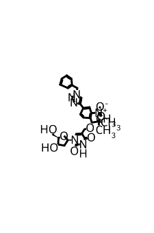 CC(C)(C)C(OCc1cn([C@H]2CC(O)[C@@H](CO)O2)c(=O)[nH]c1=O)c1ccc(-c2cn(Cc3ccccc3)nn2)cc1[N+](=O)[O-]